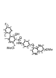 COCc1nc(C)c(-c2ccc(F)cc2C)c(O)c1C(=O)Nc1ccc(Oc2ccnc3cc(OC)cnc23)cc1